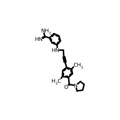 Cc1cc(C(=O)N2CCCC2)c(C)cc1C#CCNc1cccc(C(=N)N)c1